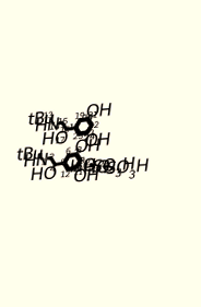 CC(C)(C)NCC(O)c1cc(O)cc(O)c1.CC(C)(C)NCC(O)c1cc(O)cc(O)c1.O=S(=O)(O)O.O=S(=O)(O)O